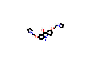 O=c1c2cc(OCCN3CCCC3)ccc2[nH]c2ccc(OCCN3CCCC3)cc12